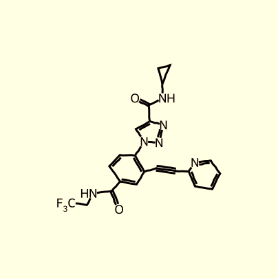 O=C(NCC(F)(F)F)c1ccc(-n2cc(C(=O)NC3CC3)nn2)c(C#Cc2ccccn2)c1